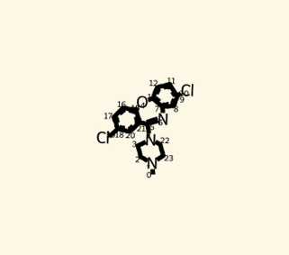 CN1CCN(C2=Nc3cc(Cl)ccc3Oc3ccc(Cl)cc32)CC1